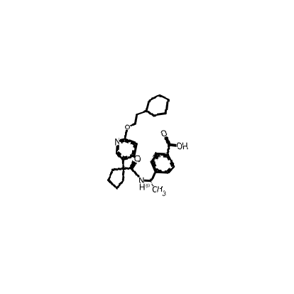 C[C@H](NC(=O)C1(c2ccc(OCCC3CCCCC3)nc2)CCCC1)c1ccc(C(=O)O)cc1